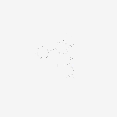 CC(=O)/C=C(\C)Nc1cc(-c2ccncc2)c(C)n(C)c1=O